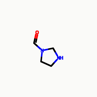 O=CN1CCNC1